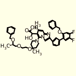 Cc1cc2nc(-c3cccc(-c4cc(F)c(F)cc4OCc4ccccc4)c3)cn2c(N2CCC(C)(OCCOC[C@@H](C)OCc3ccccc3)CC2)c1C(O)C(=O)O